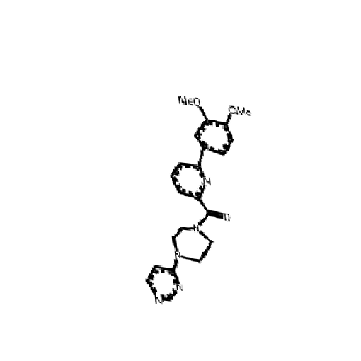 COc1ccc(-c2cccc(C(=O)N3CCN(c4ccncn4)CC3)n2)cc1OC